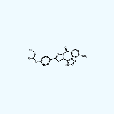 CC(C)(C)OC(=O)Nc1ccc(C2=NN(C(=O)c3ccc([N+](=O)[O-])cc3)C(c3cnc[nH]3)C2)cc1